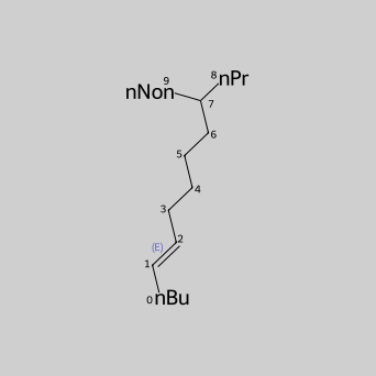 [CH2]CCC/C=C/CCCCC(CCC)CCCCCCCC[CH2]